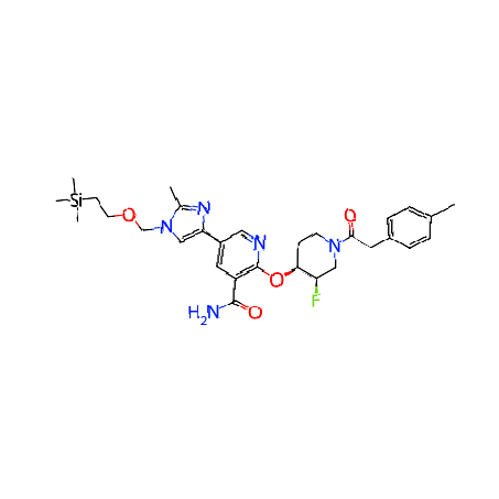 Cc1ccc(CC(=O)N2CC[C@H](Oc3ncc(-c4cn(COCC[Si](C)(C)C)c(C)n4)cc3C(N)=O)[C@H](F)C2)cc1